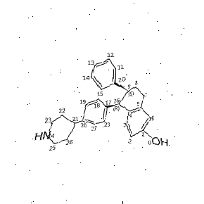 Oc1ccc2c(c1)CC[C@H](c1ccccc1)[C@@H]2c1ccc(C2CCNCC2)cc1